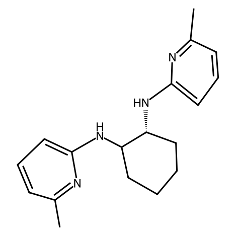 Cc1cccc(NC2CCCC[C@H]2Nc2cccc(C)n2)n1